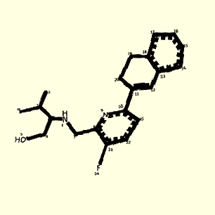 CC(C)C(CO)NCc1nc(C2=Cc3ccccc3CC2)ccc1F